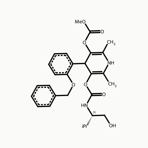 COC(=O)OC1=C(C)NC(C)=C(OC(=O)N[C@H](CO)C(C)C)C1c1ccccc1OCc1ccccc1